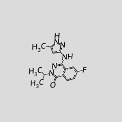 Cc1cc(Nc2nn(C(C)C)c(=O)c3ccc(F)cc23)n[nH]1